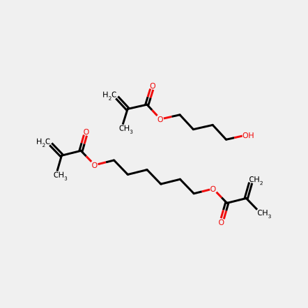 C=C(C)C(=O)OCCCCCCOC(=O)C(=C)C.C=C(C)C(=O)OCCCCO